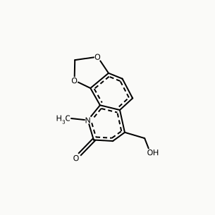 Cn1c(=O)cc(CO)c2ccc3c(c21)OCO3